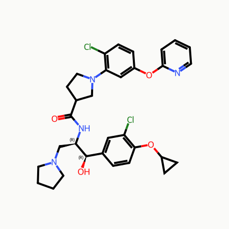 O=C(N[C@H](CN1CCCC1)[C@H](O)c1ccc(OC2CC2)c(Cl)c1)C1CCN(c2cc(Oc3ccccn3)ccc2Cl)C1